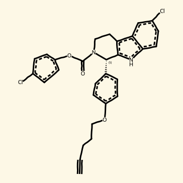 C#CCCCOc1ccc([C@H]2c3[nH]c4ccc(Cl)cc4c3CCN2C(=O)Oc2ccc(Cl)cc2)cc1